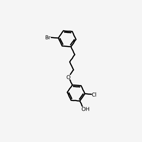 Oc1ccc(OCCCc2cccc(Br)c2)cc1Cl